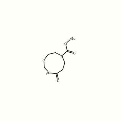 CC(C)(C)OC(=O)N1CCOCNC(=O)CC1